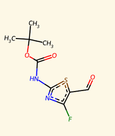 CC(C)(C)OC(=O)Nc1nc(F)c(C=O)s1